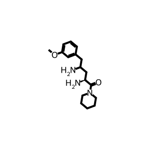 COc1cccc(CC(N)C[C@H](N)C(=O)N2CCCCC2)c1